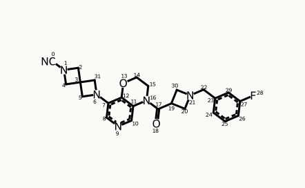 N#CN1CC2(C1)CN(c1cncc3c1OCCN3C(=O)C1CN(Cc3cccc(F)c3)C1)C2